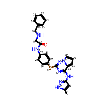 Cc1cc(Nc2nc(Sc3ccc(NC(=O)CNCc4ccccc4)cc3)nn3cccc23)n[nH]1